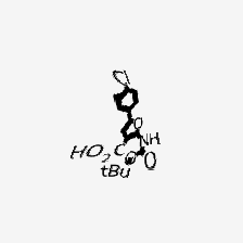 CC(C)(C)OC(=O)Nc1oc(-c2ccc(Cl)cc2)cc1C(=O)O